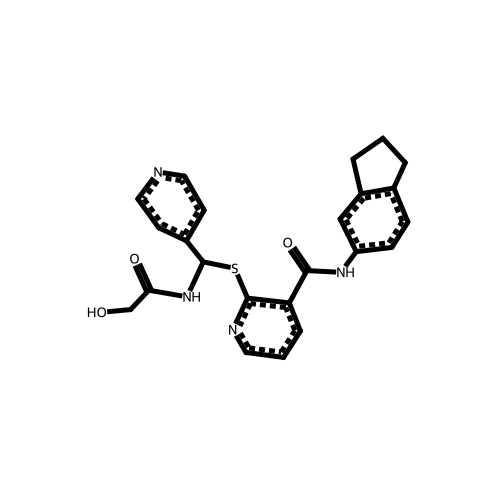 O=C(CO)NC(Sc1ncccc1C(=O)Nc1ccc2c(c1)CCC2)c1ccncc1